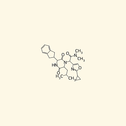 CC(C)CC1C(=O)NC(C2Cc3ccccc3C2)C(=O)N1C(C(=O)N(C)C)c1coc(C2CC2)n1